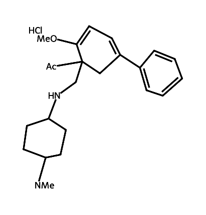 CNC1CCC(NCC2(C(C)=O)CC(c3ccccc3)=CC=C2OC)CC1.Cl